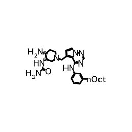 CCCCCCCCc1cccc(Nc2ncnn3ccc(CN4CC[C@@H](N)[C@H](NC(N)=O)C4)c23)c1